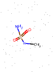 C[N]S(N)(=O)=O